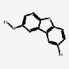 CCOc1ccc2sc3ccc(C(C)=O)cc3c2c1